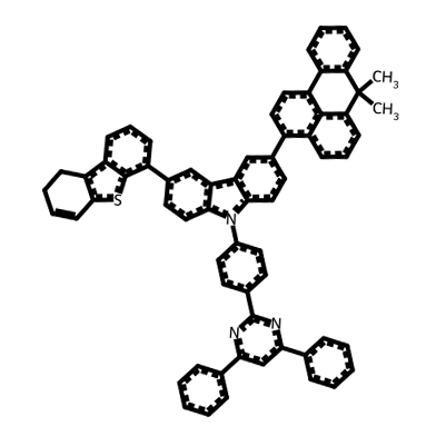 CC1(C)c2ccccc2-c2ccc(-c3ccc4c(c3)c3cc(-c5cccc6c7c(sc56)C=CCC7)ccc3n4-c3ccc(-c4nc(-c5ccccc5)cc(-c5ccccc5)n4)cc3)c3cccc1c23